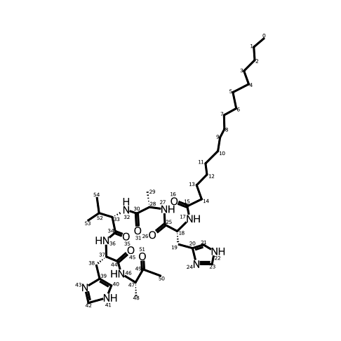 CCCCCCCCCCCCCCCC(=O)N[C@H](Cc1c[nH]cn1)C(=O)N[C@@H](C)C(=O)N[C@H](C(=O)N[C@@H](Cc1c[nH]cn1)C(=O)N[C@@H](C)C(C)=O)C(C)C